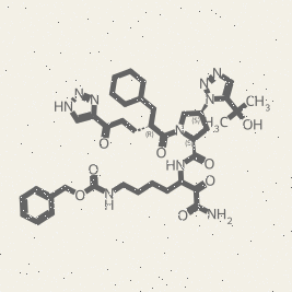 CC(C)(O)c1cnnn1[C@H]1C[C@@H](C(=O)NC(CCCCNC(=O)OCc2ccccc2)C(=O)C(N)=O)N(C(=O)[C@H](CCC(=O)c2c[nH]nn2)CC2CCCCC2)C1